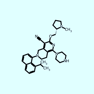 CC(C)c1cccc2cccc(N3CCc4c(N5CCNCC5)nc(OC[C@@H]5CCCN5C)c(C#N)c4C3)c12